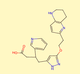 O=C(O)CC(Cc1cc(OCCc2ccc3c(n2)CCCN3)n[nH]1)c1cccnc1